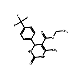 CCOC(=O)C1=C(C)NC(=O)NC1c1ccc(C(F)(F)F)cc1